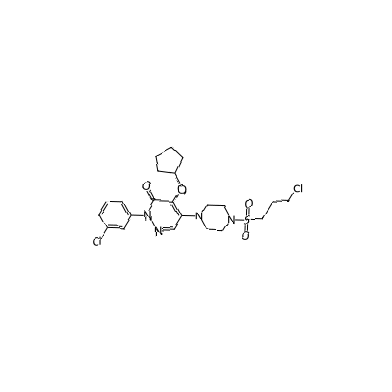 O=c1c(OC2CCCC2)c(N2CCN(S(=O)(=O)CCCCl)CC2)cnn1-c1cccc(Cl)c1